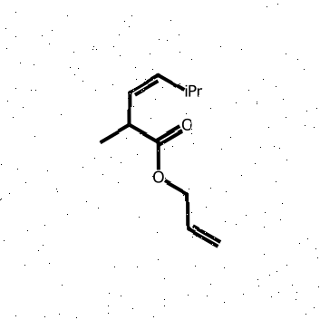 C=CCOC(=O)C(C)/C=C\C(C)C